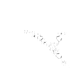 CNC(=O)c1ncc2sc(N3CCN(S(=O)(=O)c4ccc(OC(F)(F)F)cc4)[C@@H](C(=O)NCc4ccc(OC(F)(F)F)cc4)C3)nc2n1